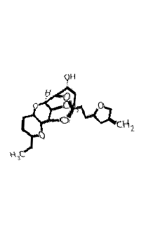 C=C1COC(CC[C@]23C[C@@H](O)C(O2)[C@@H]2OC4CCC(CC)OC4C(O3)C2C)C1